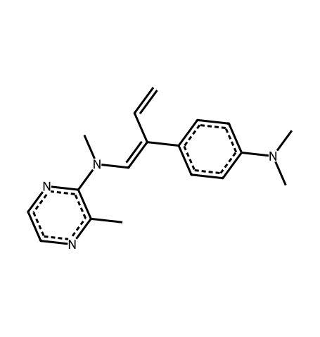 C=C/C(=C\N(C)c1nccnc1C)c1ccc(N(C)C)cc1